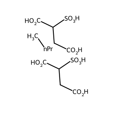 CCCC.O=C(O)CC(C(=O)O)S(=O)(=O)O.O=C(O)CC(C(=O)O)S(=O)(=O)O